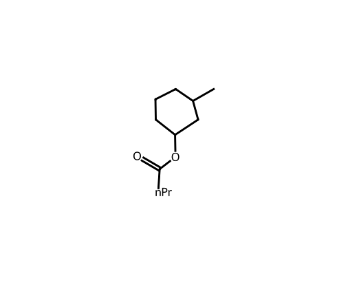 CCCC(=O)OC1CCCC(C)C1